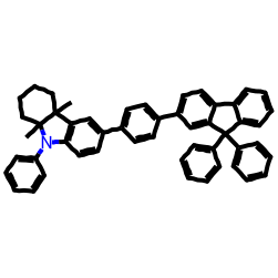 CC12CCCCC1(C)N(c1ccccc1)c1ccc(-c3ccc(-c4ccc5c(c4)C(c4ccccc4)(c4ccccc4)c4ccccc4-5)cc3)cc12